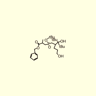 CC(CP(=O)(CC(CCCO)C(O)(C(C)(C)C)C(C)(C)C)OC(C)(C)C)C(=O)OCc1ccccc1